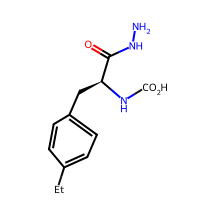 CCc1ccc(C[C@H](NC(=O)O)C(=O)NN)cc1